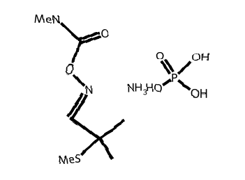 CNC(=O)O/N=C/C(C)(C)SC.N.O=P(O)(O)O